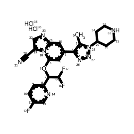 Cc1c(-c2cc(OC(c3ccc(F)cn3)C(F)F)n3c(C#N)cnc3c2)nnn1C1CCNCC1.Cl.Cl